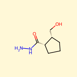 NNC(=O)[C@H]1CCC[C@H]1CO